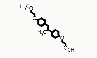 COCCOc1ccc(/C=C(\C)c2ccc(OCCOC)cc2)cc1